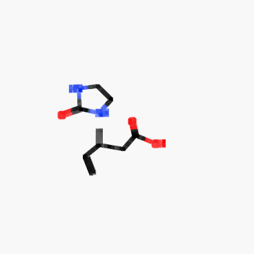 C=CC(=C)CC(=O)O.O=C1NCCN1